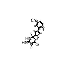 [C-]#[N+]c1ccc(F)c(-c2csc([C@]3(C)CC(=O)N(C)C(=N)N3)c2)c1